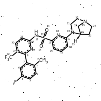 Cc1ccc(F)cc1-c1nc(NS(=O)(=O)c2cccc(N3CCN4CC[C@H]3C4)n2)ccc1C(F)(F)F